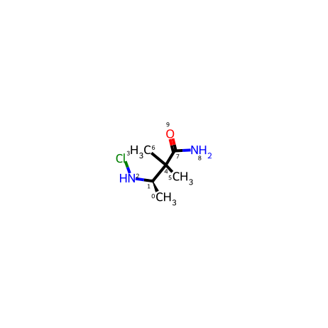 C[C@@H](NCl)C(C)(C)C(N)=O